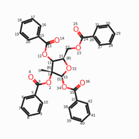 C[C@@]1(OC(=O)c2ccccc2)C(OC(=O)c2ccccc2)[C@@H](COC(=O)c2ccccc2)O[C@H]1OC(=O)c1ccccc1